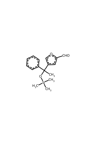 CC(O[Si](C)(C)C)(c1ccccc1)c1coc(C=O)c1